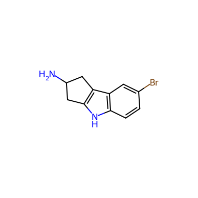 NC1Cc2[nH]c3ccc(Br)cc3c2C1